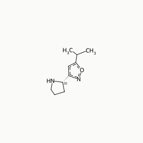 CC(C)c1cc([C@@H]2CCCN2)no1